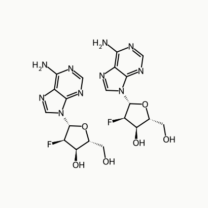 Nc1ncnc2c1ncn2[C@@H]1O[C@H](CO)[C@@H](O)[C@H]1F.Nc1ncnc2c1ncn2[C@@H]1O[C@H](CO)[C@@H](O)[C@H]1F